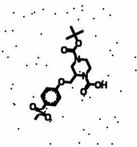 CC(C)(C)OC(=O)N1CCN(C(=O)O)C(COc2ccc(S(C)(=O)=O)cc2)C1